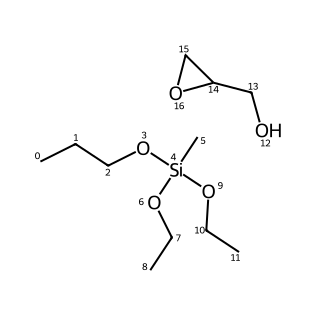 CCCO[Si](C)(OCC)OCC.OCC1CO1